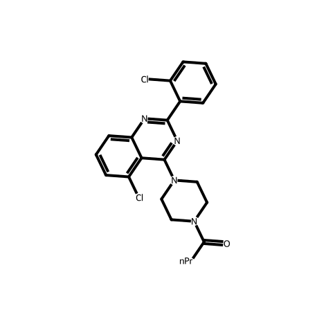 CCCC(=O)N1CCN(c2nc(-c3ccccc3Cl)nc3cccc(Cl)c23)CC1